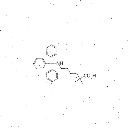 CC(C)(CCCCNC(c1ccccc1)(c1ccccc1)c1ccccc1)C(=O)O